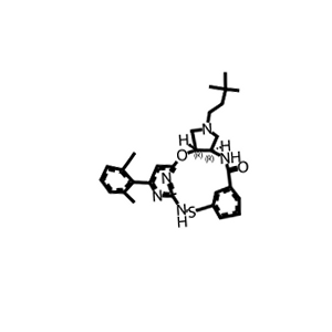 Cc1cccc(C)c1-c1cc2nc(n1)NSc1cccc(c1)C(=O)N[C@@H]1CN(CCC(C)(C)C)C[C@H]1O2